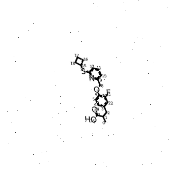 CC(Cc1ccc(OCc2cccc(SC3CCC3)n2)c(F)c1)C(=O)O